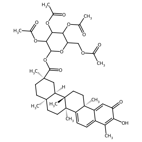 CC(=O)OCC1OC(OC(=O)[C@]2(C)CC[C@]3(C)CC[C@]4(C)C5=CC=C6C(=CC(=O)C(O)=C6C)[C@]5(C)CC[C@@]4(C)[C@@H]3C2)C(OC(C)=O)C(OC(C)=O)C1OC(C)=O